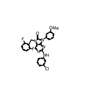 COc1cccc(-n2c(=O)n(Cc3c(F)cccc3F)c3cnc(Nc4cccc(Cl)c4)nc32)c1